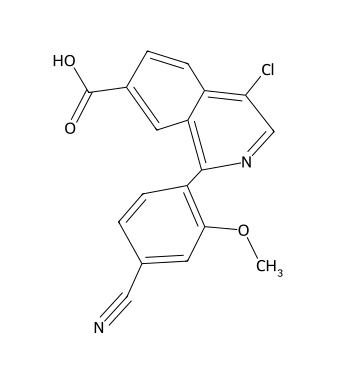 COc1cc(C#N)ccc1-c1ncc(Cl)c2ccc(C(=O)O)cc12